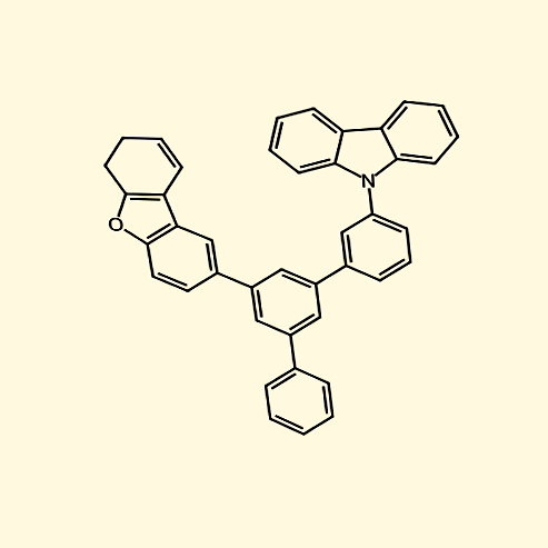 C1=Cc2c(oc3ccc(-c4cc(-c5ccccc5)cc(-c5cccc(-n6c7ccccc7c7ccccc76)c5)c4)cc23)CC1